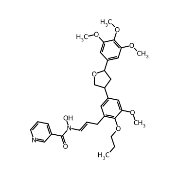 CCCOc1c(CC=CN(O)C(=O)c2cccnc2)cc(C2COC(c3cc(OC)c(OC)c(OC)c3)C2)cc1OC